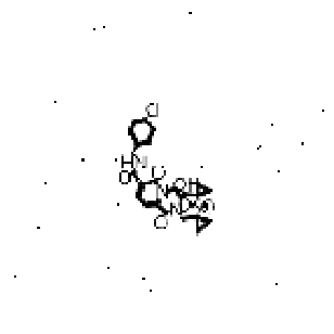 O=C(NCc1ccc(Cl)cc1)c1ccc2n(c1=O)CCN(CC1(S(=O)(=O)C3(CO)CC3)CC1)C2=O